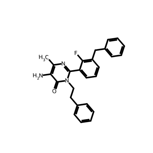 Cc1nc(-c2cccc(Cc3ccccc3)c2F)n(CCc2ccccc2)c(=O)c1N